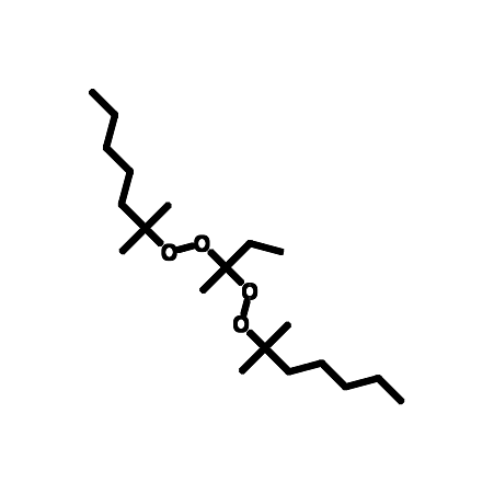 CCCCCC(C)(C)OOC(C)(CC)OOC(C)(C)CCCCC